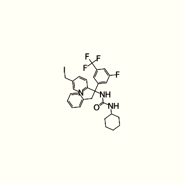 O=C(NC1CCCCC1)NC(Cc1ccccc1)(c1cc(F)cc(C(F)(F)F)c1)c1ccc(CI)cn1